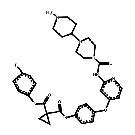 CN1CCC(N2CCN(C(=O)Nc3cc(Oc4ccc(NC(=O)C5(C(=O)Nc6ccc(F)cc6)CC5)cc4)ccn3)CC2)CC1